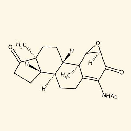 CC(=O)NC1=C2CC[C@H]3[C@@H]4CCC(=O)[C@@]4(C)CC[C@@H]3[C@@]2(C)C2O[C@H]2C1=O